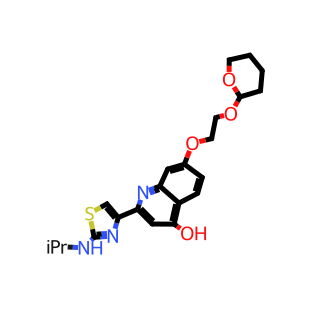 CC(C)Nc1nc(-c2cc(O)c3ccc(OCCOC4CCCCO4)cc3n2)cs1